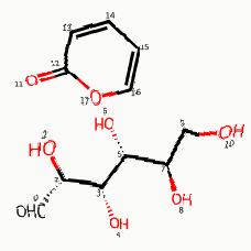 O=C[C@H](O)[C@@H](O)[C@H](O)[C@H](O)CO.O=c1cccco1